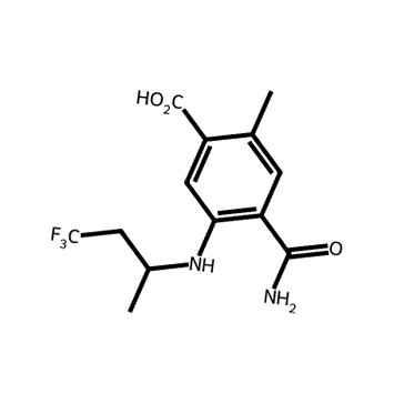 Cc1cc(C(N)=O)c(NC(C)CC(F)(F)F)cc1C(=O)O